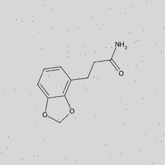 NC(=O)CCc1cccc2c1OCO2